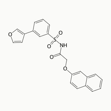 O=C(COc1ccc2ccccc2c1)NS(=O)(=O)c1cccc(-c2ccoc2)c1